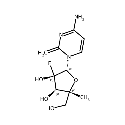 C=C1N=C(N)C=CN1[C@@H]1O[C@](C)(CO)[C@@H](O)[C@]1(O)F